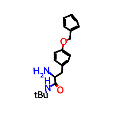 CC(C)(C)NC(=O)C(N)Cc1ccc(OCc2ccccc2)cc1